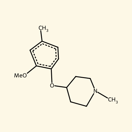 COc1cc(C)ccc1OC1CCN(C)CC1